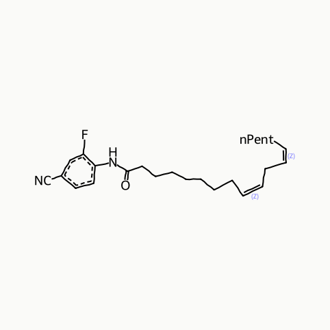 CCCCC/C=C\C/C=C\CCCCCCCC(=O)Nc1ccc(C#N)cc1F